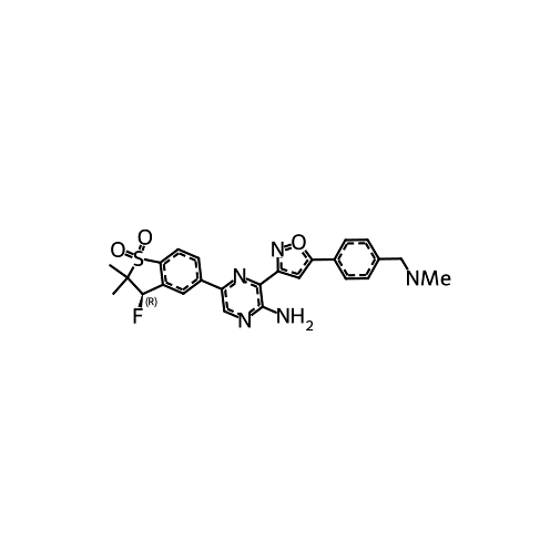 CNCc1ccc(-c2cc(-c3nc(-c4ccc5c(c4)[C@@H](F)C(C)(C)S5(=O)=O)cnc3N)no2)cc1